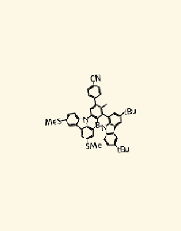 CSc1ccc2c(c1)c1cc(SC)cc3c1n2-c1cc(-c2ccc(C#N)cc2)c(C)c2c1B3n1c3ccc(C(C)(C)C)cc3c3cc(C(C)(C)C)cc-2c31